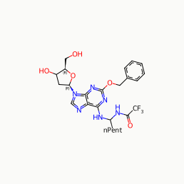 CCCCCC(NC(=O)C(F)(F)F)Nc1nc(OCc2ccccc2)nc2c1ncn2[C@H]1CC(O)[C@@H](CO)O1